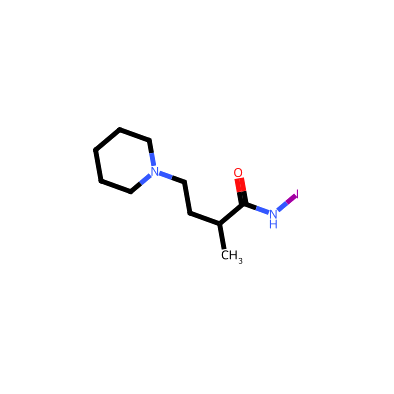 CC(CCN1CCCCC1)C(=O)NI